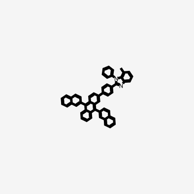 Cc1cccc2nc(-c3ccc(-c4ccc5c(-c6ccc7ccccc7c6)c6ccccc6c(-c6ccc7ccccc7c6)c5c4)cc3)n(-c3ccccc3)c12